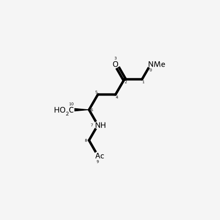 CNCC(=O)CC[C@@H](NCC(C)=O)C(=O)O